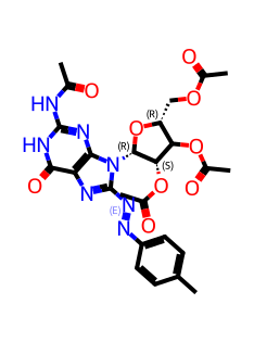 CC(=O)Nc1nc2c(nc(/N=N/c3ccc(C)cc3)n2[C@@H]2O[C@H](COC(C)=O)C(OC(C)=O)[C@@H]2OC(C)=O)c(=O)[nH]1